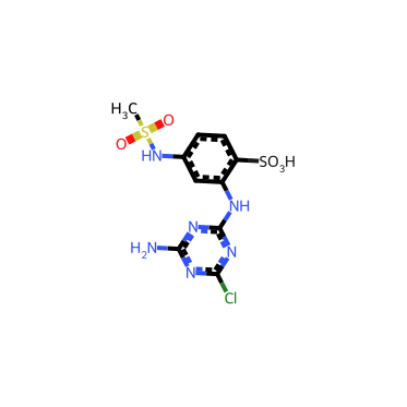 CS(=O)(=O)Nc1ccc(S(=O)(=O)O)c(Nc2nc(N)nc(Cl)n2)c1